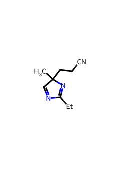 CCC1=NC(C)(CCC#N)C=N1